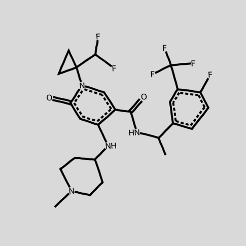 CC(NC(=O)c1cn(C2(C(F)F)CC2)c(=O)cc1NC1CCN(C)CC1)c1ccc(F)c(C(F)(F)F)c1